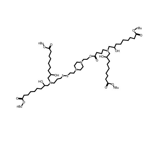 CCCCOC(=O)CCCCCCC(O)CN(CCCSSCCN1CCN(CCOC(=O)CCCN(CC(O)CCCCCCC(=O)OCCCC)CC(O)CCCCCCC(=O)OCCCC)CC1)CC(O)CCCCCCC(=O)OCCCC